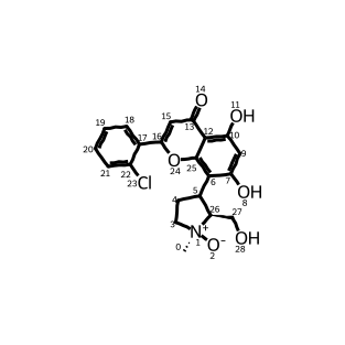 C[N@+]1([O-])CCC(c2c(O)cc(O)c3c(=O)cc(-c4ccccc4Cl)oc23)[C@H]1CO